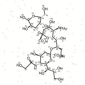 CC(=O)N[C@H]1[C@H]([C@H](O)[C@@H](CO)O[C@]2(C(=O)O)C[C@H](O)[C@@H](NC(=O)CO)[C@H]([C@H](O)[C@H](O)CO)O2)O[C@@](O[C@H]2[C@@H](O)[C@@H](CO)OC(O)[C@@H]2O)(C(=O)O)C[C@@H]1O